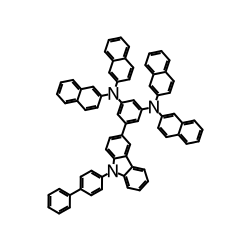 c1ccc(-c2ccc(-n3c4ccccc4c4cc(-c5cc(N(c6ccc7ccccc7c6)c6ccc7ccccc7c6)cc(N(c6ccc7ccccc7c6)c6ccc7ccccc7c6)c5)ccc43)cc2)cc1